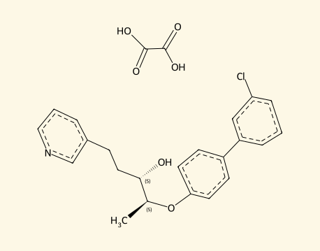 C[C@H](Oc1ccc(-c2cccc(Cl)c2)cc1)[C@@H](O)CCc1cccnc1.O=C(O)C(=O)O